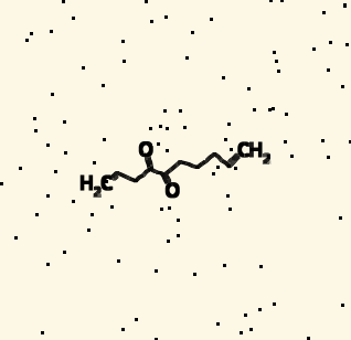 C=CCCCC(=O)C(=O)CC=C